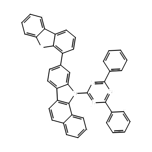 c1ccc(-c2nc(-c3ccccc3)nc(-n3c4cc(-c5cccc6c5sc5ccccc56)ccc4c4ccc5ccccc5c43)n2)cc1